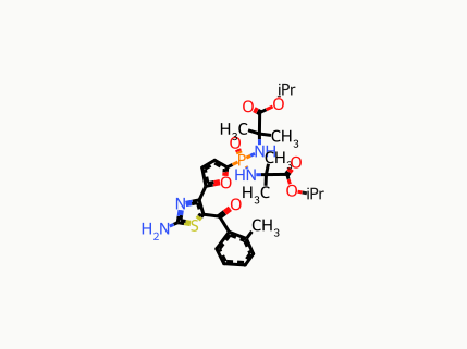 Cc1ccccc1C(=O)c1sc(N)nc1-c1ccc(P(=O)(NC(C)(C)C(=O)OC(C)C)NC(C)(C)C(=O)OC(C)C)o1